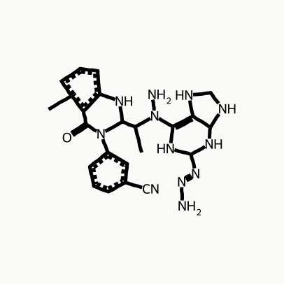 Cc1cccc2c1C(=O)N(c1cccc(C#N)c1)C(C(C)N(N)C1=C3NCNC3NC(N=NN)N1)N2